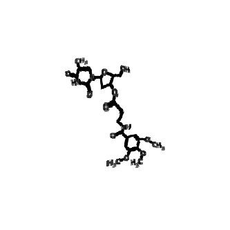 COc1cc(C(=O)NCCC(=O)OC2CC(n3cc(C)c(=O)[nH]c3=O)OC2CO)cc(OC)c1OC